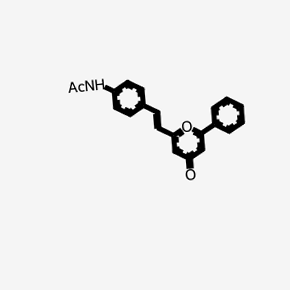 CC(=O)Nc1ccc(C=Cc2cc(=O)cc(-c3ccccc3)o2)cc1